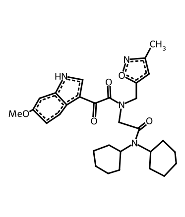 COc1ccc2c(C(=O)C(=O)N(CC(=O)N(C3CCCCC3)C3CCCCC3)Cc3cc(C)no3)c[nH]c2c1